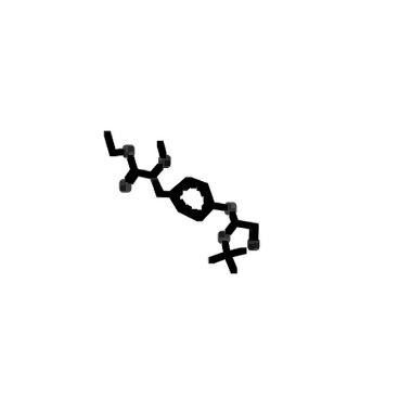 CCOC(=O)[C@H](Cc1ccc(OC(C=O)OC(C)(C)C)cc1)OC